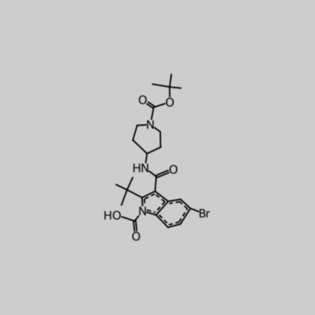 CC(C)(C)OC(=O)N1CCC(NC(=O)c2c(C(C)(C)C)n(C(=O)O)c3ccc(Br)cc23)CC1